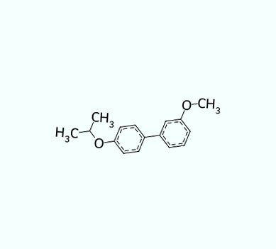 COc1cccc(-c2ccc(OC(C)C)cc2)c1